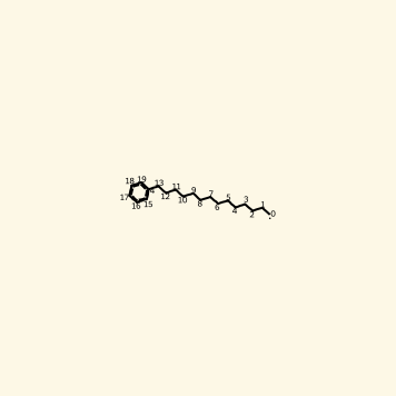 [CH2]CCCCCCCCCCCCCc1ccccc1